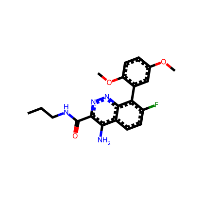 CCCNC(=O)c1nnc2c(-c3cc(OC)ccc3OC)c(F)ccc2c1N